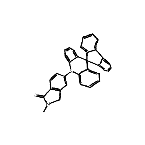 CN1Cc2cc(N3c4ccccc4C4(c5ccccc5-c5ccccc54)c4ccccc43)ccc2C1=O